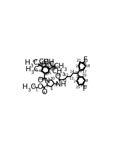 CCOC(=O)[C@@H]1C[C@H](NC(=O)CCCCC(c2ccc(F)cc2)c2ccc(F)cc2)CN1C(=O)c1cc(C(C)(C)C)c(O)c(C(C)(C)C)c1